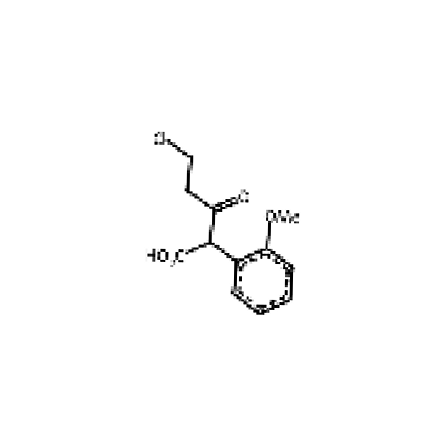 COc1ccccc1C(C(=O)O)C(=O)CCCl